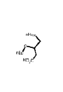 CCCCCCCC(CC(=O)O)OCCCC